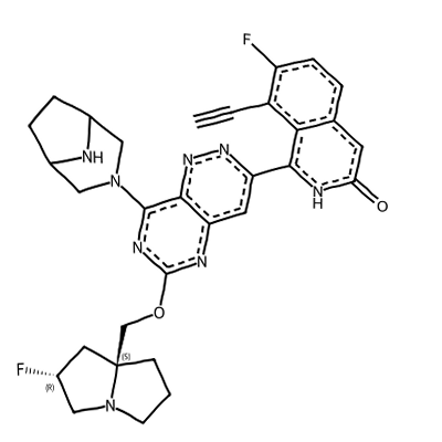 C#Cc1c(F)ccc2cc(=O)[nH]c(-c3cc4nc(OC[C@@]56CCCN5C[C@H](F)C6)nc(N5CC6CCC(C5)N6)c4nn3)c12